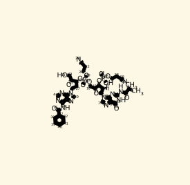 CC(C)C(=O)Nc1nc2c(ncn2C2OC(COP(=O)(OCCC#N)O[C@H]3CC(n4cnc5c(NC(=O)c6ccccc6)ncnc54)OC3CO)[C@@H](OP(=O)(O)OCCC#N)[C@H]2F)c(=O)[nH]1